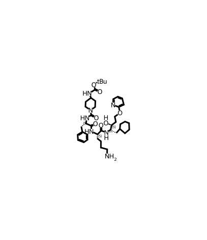 CC(C)(C)OC(=O)NC1CCN(C(=O)N[C@@H](Cc2ccccc2)C(=O)N[C@@H](CCCCN)C(=O)N[C@@H](CC2CCCCC2)[C@@H](O)CCOc2ccccn2)CC1